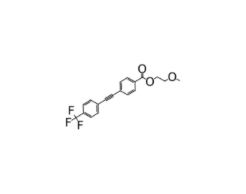 COCCOC(=O)c1ccc(C#Cc2ccc(C(F)(F)F)cc2)cc1